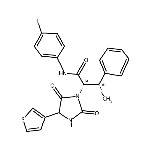 C[C@@H](c1ccccc1)[C@@H](C(=O)Nc1ccc(I)cc1)N1C(=O)NC(c2ccsc2)C1=O